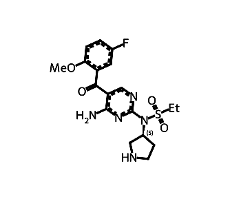 CCS(=O)(=O)N(c1ncc(C(=O)c2cc(F)ccc2OC)c(N)n1)[C@H]1CCNC1